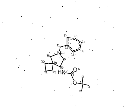 CC(C)(C)OC(=O)N[C@H]1CN(Cc2ccccc2)CC12CCC2